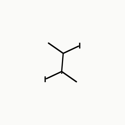 C[C](I)C(C)I